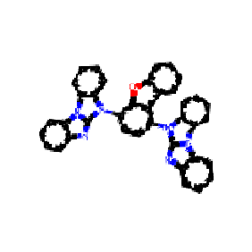 c1ccc2c(c1)nc1n(-c3ccc(-n4c5ccccc5n5c6ccccc6nc45)c4c3oc3ccccc34)c3ccccc3n21